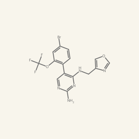 Nc1ncc(-c2ccc(Br)cc2OC(F)(F)F)c(NCc2cocn2)n1